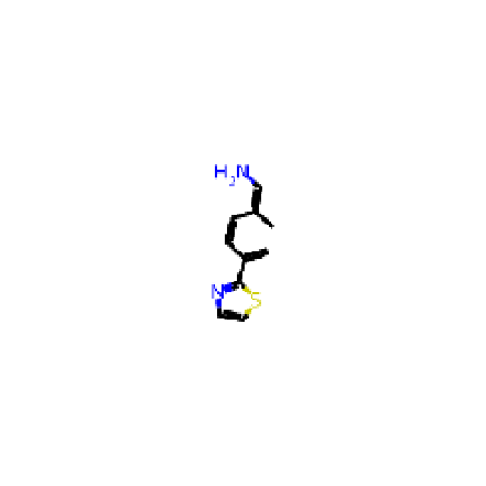 C=C(/C=C\C(C)=C/N)c1nccs1